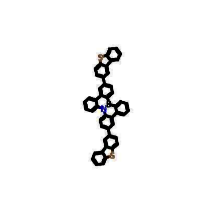 c1ccc2c(c1)B1c3ccc(-c4ccc5sc6ccccc6c5c4)cc3-c3ccccc3N1c1ccc(-c3ccc4sc5ccccc5c4c3)cc1-2